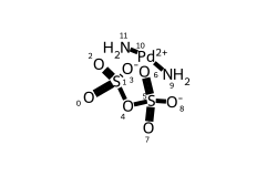 O=S(=O)([O-])OS(=O)(=O)[O-].[NH2][Pd+2][NH2]